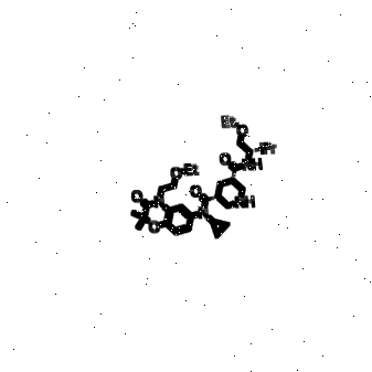 CCOCCN1C(=O)C(C)(C)Oc2ccc(N(C(=O)[C@H]3CNC[C@@H](C(=O)N[C@H](COCC)C(C)C)C3)C3CC3)cc21